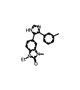 CCn1c(=O)n(C)c2cc(-c3[nH]cnc3-c3cccc(C)c3)ccc21